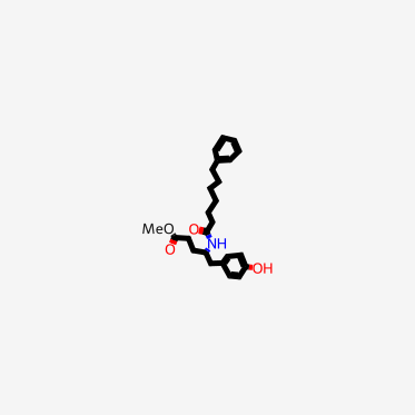 COC(=O)CCC(Cc1ccc(O)cc1)NC(=O)CCCCCCc1ccccc1